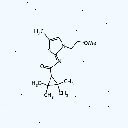 COCCn1cc(C)s/c1=N\C(=O)C1C(C)(C)C1(C)C